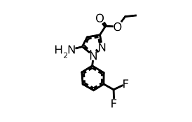 CCOC(=O)c1cc(N)n(-c2cccc(C(F)F)c2)n1